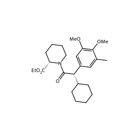 CCOC(=O)[C@@H]1CCCCN1C(=O)[C@H](c1cc(C)c(OC)c(OC)c1)C1CCCCC1